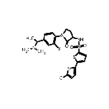 CC(c1ccc(N2CCC(NS(=O)(=O)c3ccc(-c4ccc(Cl)s4)s3)C2=O)c(F)c1)N(C)C